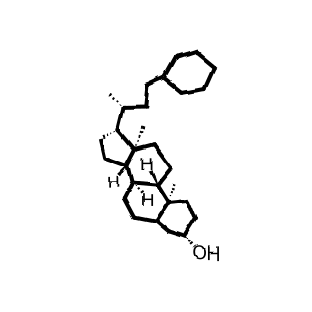 C[C@H](CCC1CCCCC1)[C@H]1CC[C@H]2[C@@H]3CCC4C[C@@H](O)CC[C@]4(C)[C@H]3CC[C@]12C